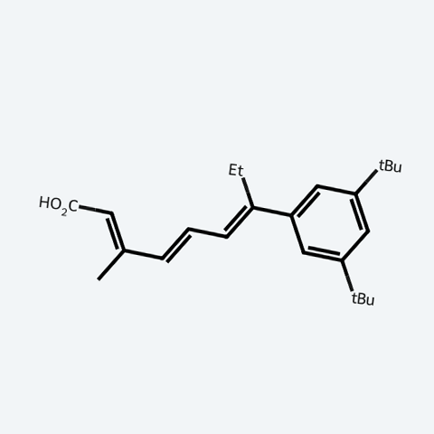 CCC(=CC=CC(C)=CC(=O)O)c1cc(C(C)(C)C)cc(C(C)(C)C)c1